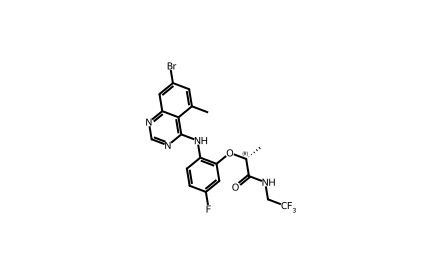 Cc1cc(Br)cc2ncnc(Nc3ccc(F)cc3O[C@H](C)C(=O)NCC(F)(F)F)c12